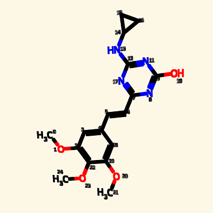 COc1cc(C=Cc2nc(O)nc(NC3CC3)n2)cc(OC)c1OC